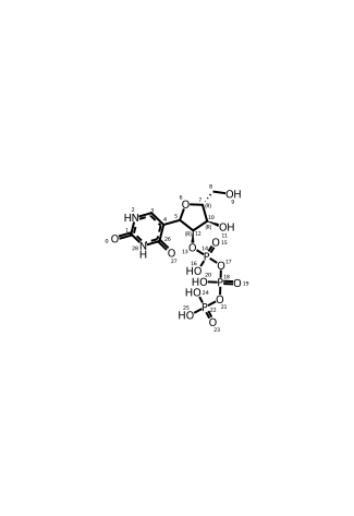 O=c1[nH]cc(C2O[C@H](CO)[C@@H](O)[C@H]2OP(=O)(O)OP(=O)(O)OP(=O)(O)O)c(=O)[nH]1